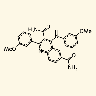 COc1cccc(Nc2c(C(N)=O)c(-c3cccc(OC)c3)nc3ccc(C(N)=O)cc23)c1